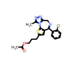 CC(=O)OCCCc1cc2c(s1)-n1c(C)nnc1CN=C2c1ccccc1Cl